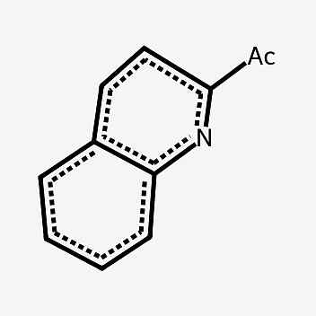 CC(=O)c1ccc2ccccc2n1